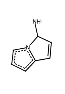 [NH]C1C=Cc2cccn21